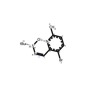 Cc1ccc(Br)c(/C=N\[S@@+]([O-])C(C)(C)C)n1